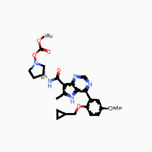 COc1ccc(OCC2CC2)c(-c2ncnc3c(C(=O)N[C@@H]4CCN(OC(=O)OC(C)(C)C)C4)c(C)[nH]c23)c1